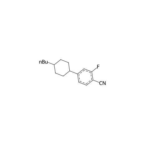 CCCCC1CCC(c2ccc(C#N)c(F)c2)CC1